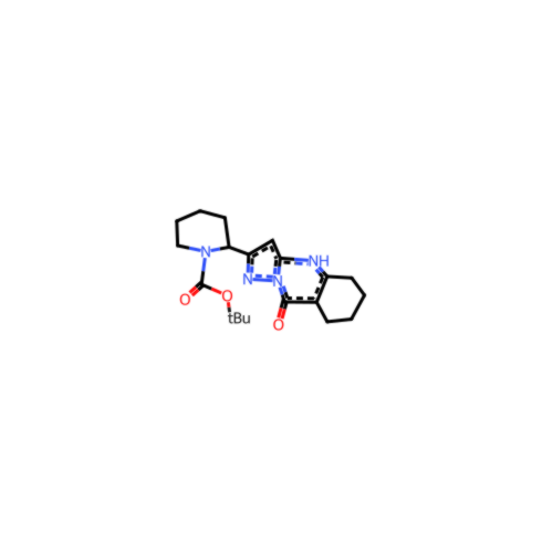 CC(C)(C)OC(=O)N1CCCCC1c1cc2[nH]c3c(c(=O)n2n1)CCCC3